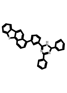 c1ccc(C2=NC(c3ccccc3)NC(c3cccc(-c4cccc5c4ccc4c6ccccc6sc54)c3)=N2)cc1